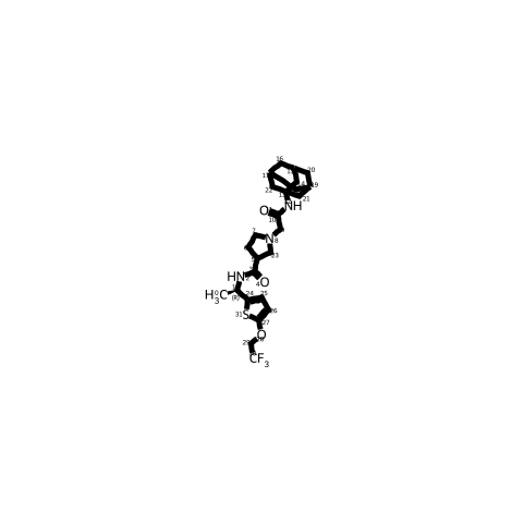 C[C@@H](NC(=O)C1CCN(CC(=O)NC23CC4CC(CC(C4)C2)C3)C1)c1ccc(OCC(F)(F)F)s1